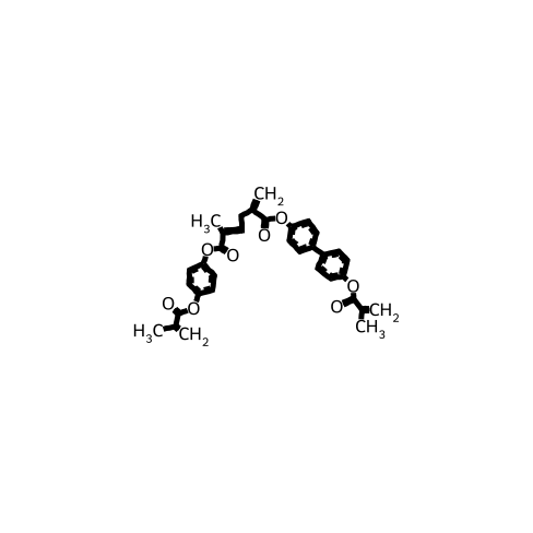 C=C(C)C(=O)Oc1ccc(OC(=O)/C(C)=C/CC(=C)C(=O)Oc2ccc(-c3ccc(OC(=O)C(=C)C)cc3)cc2)cc1